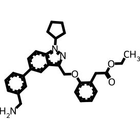 CCOC(=O)Cc1ccccc1OCc1nn(C2CCCC2)c2ccc(-c3cccc(CN)c3)cc12